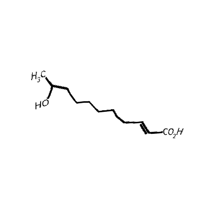 CC(O)CCCCCCC=CC(=O)O